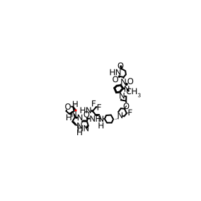 Cn1c(=O)n(C2CCC(=O)NC2=O)c2cccc(N3CC(O[C@@H]4CCN(C[C@H]5CC[C@H](N/C=C(\NC(=O)/C(C=N)=C6\N=C(N7C[C@H]8C[C@@H]7CO8)C=CN6)C(=N)C(F)F)CC5)C[C@H]4F)C3)c21